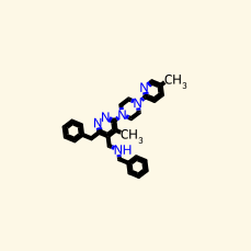 Cc1ccc(N2CCN(c3nnc(Cc4ccccc4)c(CNCc4ccccc4)c3C)CC2)nc1